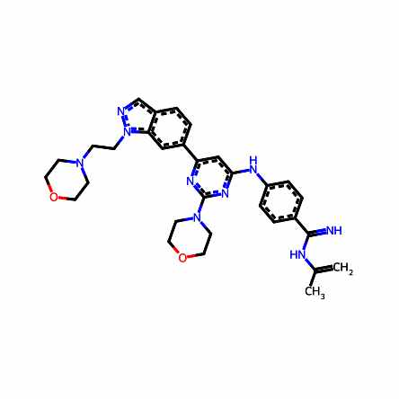 C=C(C)NC(=N)c1ccc(Nc2cc(-c3ccc4cnn(CCN5CCOCC5)c4c3)nc(N3CCOCC3)n2)cc1